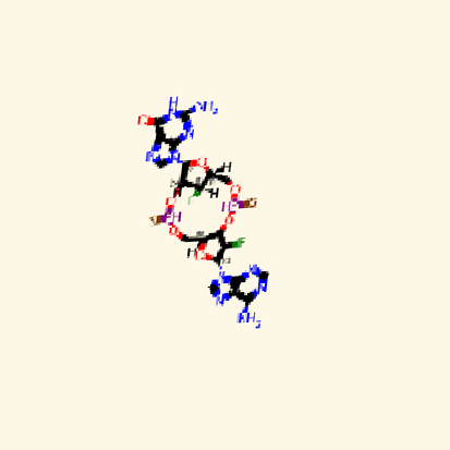 Nc1nc2c(ncn2[C@@H]2O[C@@H]3CO[PH](=S)OC4C(F)[C@H](n5cnc6c(N)ncnc65)O[C@@H]4CO[PH](=S)O[C@@H]2[C@@H]3F)c(=O)[nH]1